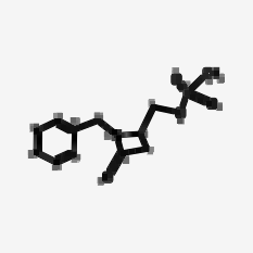 CS(=O)(=O)OCC1CC(=O)N1Cc1ccccc1